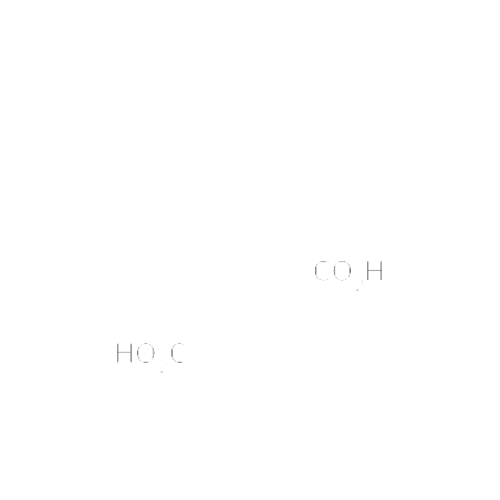 O=C(O)CC1(C(=O)O)C=CC=CC1